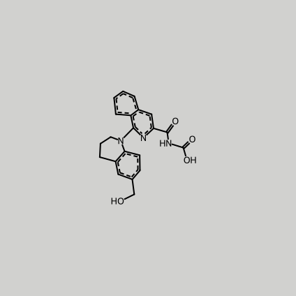 O=C(O)NC(=O)c1cc2ccccc2c(N2CCCc3cc(CO)ccc32)n1